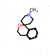 CN1CCC2(CC1)OCCc1ccccc12